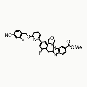 COC(=O)c1ccc2nc(Cc3ccc(-c4cccc(OCc5ccc(C#N)cc5F)n4)cc3F)n([C@H]3CCOC3)c2c1